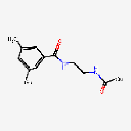 Cc1cc(C(=O)NCCNC(=O)C(C)(C)C)cc(C(C)(C)C)c1